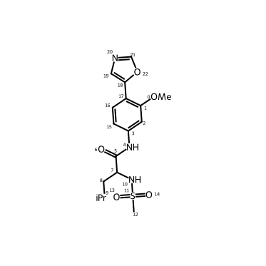 COc1cc(NC(=O)C(CC(C)C)NS(C)(=O)=O)ccc1-c1cnco1